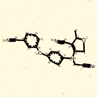 CC1OCC(N(CC#N)c2ccc(Oc3cccc(C#N)c3)cc2)=C1C#N